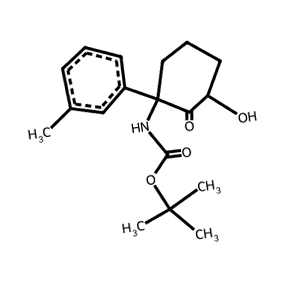 Cc1cccc(C2(NC(=O)OC(C)(C)C)CCCC(O)C2=O)c1